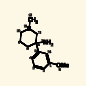 COc1cccc(C2(N)CCCN(C)C2)c1